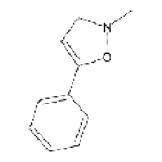 CN1CC=C(c2ccccc2)O1